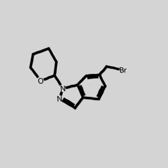 BrCc1ccc2cnn(C3CCCCO3)c2c1